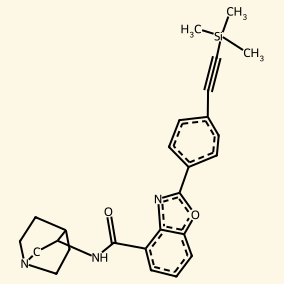 C[Si](C)(C)C#Cc1ccc(-c2nc3c(C(=O)NC4CN5CCC4CC5)cccc3o2)cc1